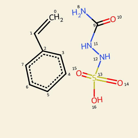 C=Cc1ccccc1.NC(=O)NNS(=O)(=O)O